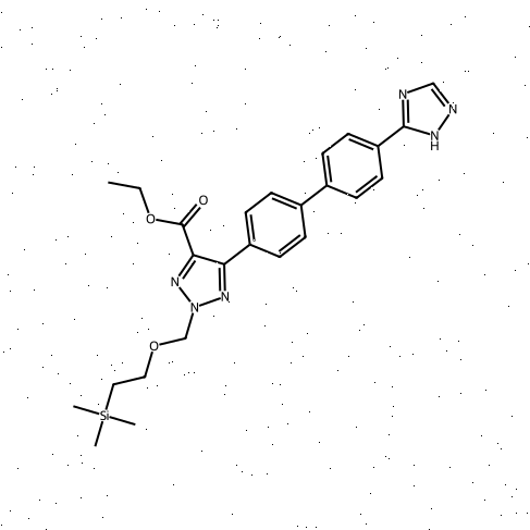 CCOC(=O)c1nn(COCC[Si](C)(C)C)nc1-c1ccc(-c2ccc(-c3ncn[nH]3)cc2)cc1